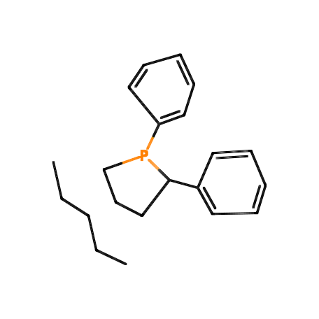 CCCCC.c1ccc(C2CCCP2c2ccccc2)cc1